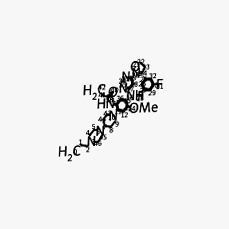 C=CCN1CCN(C2CCN(c3cc(OC)c(Nc4cc(N5OCC[C@@H]5c5cc(F)cc(F)c5)ncn4)cc3NC(=O)C=C)CC2)CC1